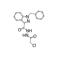 O=C(CCl)NNC(=O)c1nn(Cc2ccccc2)c2ccccc12